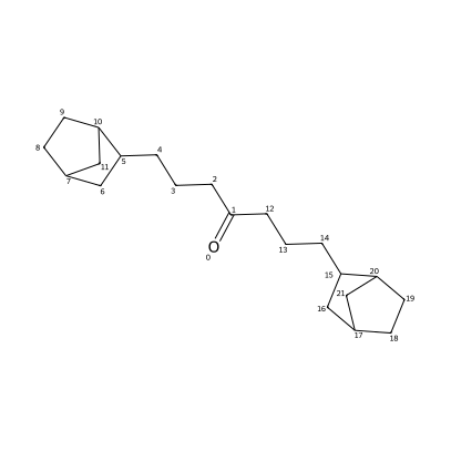 O=C(CCCC1CC2CCC1C2)CCCC1CC2CCC1C2